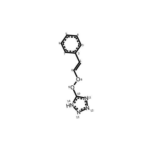 C(=Cc1ccccc1)OOc1nnn[nH]1